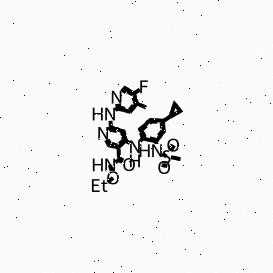 CCONC(=O)c1cnc(Nc2cc(C)c(F)cn2)cc1Nc1ccc(C2CC2)cc1NS(C)(=O)=O